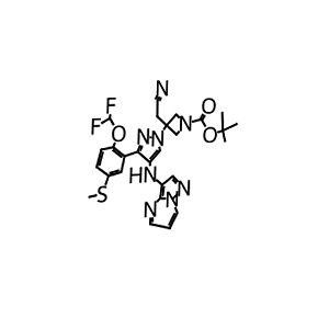 CSc1ccc(OC(F)F)c(-c2nn(C3(CC#N)CN(C(=O)OC(C)(C)C)C3)cc2Nc2cnn3cccnc23)c1